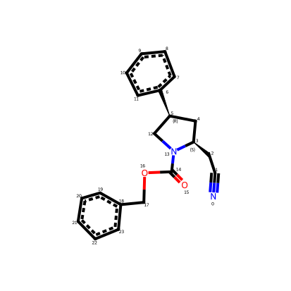 N#CC[C@@H]1C[C@H](c2ccccc2)CN1C(=O)OCc1ccccc1